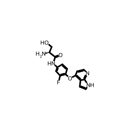 N[C@@H](CO)C(=O)Nc1ccc(Oc2ccnc3[nH]ccc23)c(F)c1